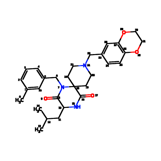 Cc1cccc(CN2C(=O)C(CC(C)C)NC(=O)C23CCN(Cc2ccc4c(c2)OCCO4)CC3)c1